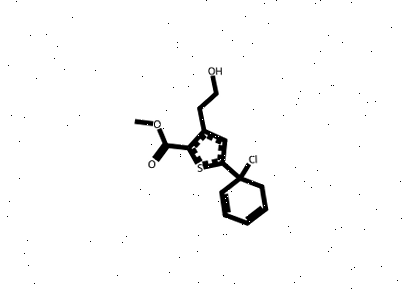 COC(=O)c1sc(C2(Cl)C=CC=CC2)cc1CCO